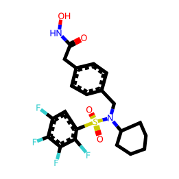 O=C(Cc1ccc(CN(C2CCCCC2)S(=O)(=O)c2cc(F)c(F)c(F)c2F)cc1)NO